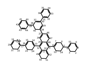 C1=CCCC(C2CC=C(c3c4c(c(C5=CC=C(C6=NC=CCC6)CC5)c5cc(C6=CC(c7ccccc7)=CC(c7ccccc7)C6)ccc35)=CCCC=4)CC2)=C1